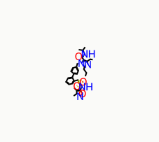 CCCc1nc(CC)c(C(=O)NC(C)C)n1Cc1ccc(-c2ccccc2CS(=O)(=O)Nc2onc(C)c2C)cc1